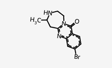 CC1Cc2nc3cc(Br)ccc3c(=O)n2CCN1